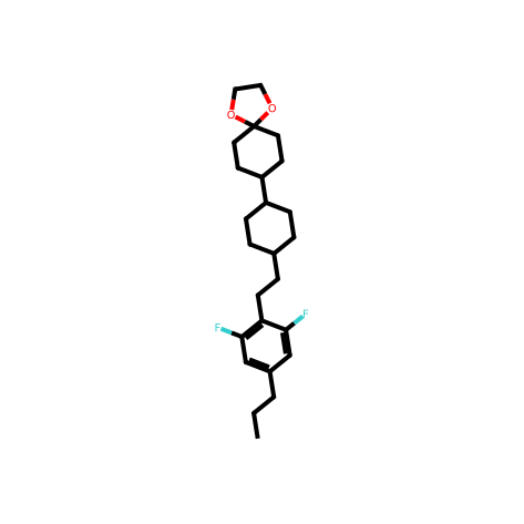 CCCc1cc(F)c(CCC2CCC(C3CCC4(CC3)OCCO4)CC2)c(F)c1